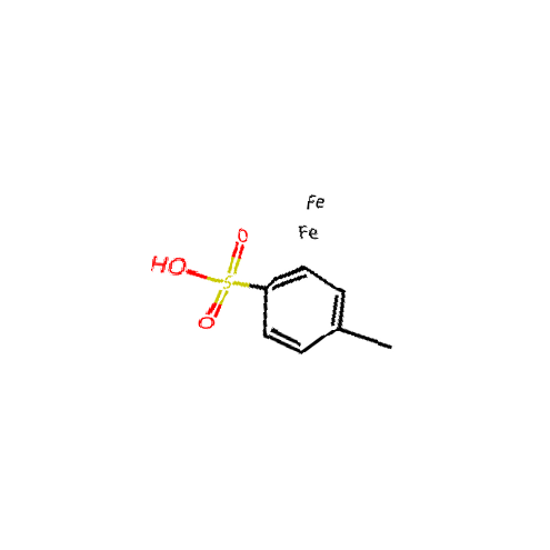 Cc1ccc(S(=O)(=O)O)cc1.[Fe].[Fe]